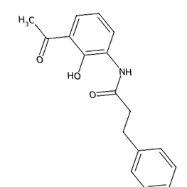 CC(=O)c1cccc(NC(=O)CCc2ccccc2)c1O